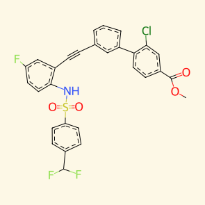 COC(=O)c1ccc(-c2cccc(C#Cc3cc(F)ccc3NS(=O)(=O)c3ccc(C(F)F)cc3)c2)c(Cl)c1